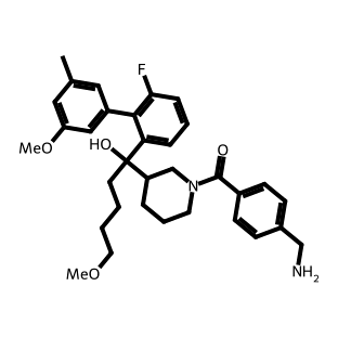 COCCCCC(O)(c1cccc(F)c1-c1cc(C)cc(OC)c1)C1CCCN(C(=O)c2ccc(CN)cc2)C1